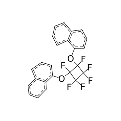 FC1(F)C(F)(F)C(F)(Oc2cccc3ccccc23)C1(F)Oc1cccc2ccccc12